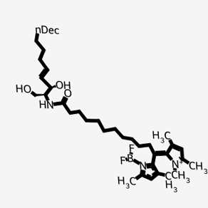 CCCCCCCCCCCCC/C=C/[C@@H](O)[C@H](CO)NC(=O)CCCCCCCCCC/C(=C1\C(C)=CC(C)=[N+]1C)c1c(C)cc(C)n1B(F)F